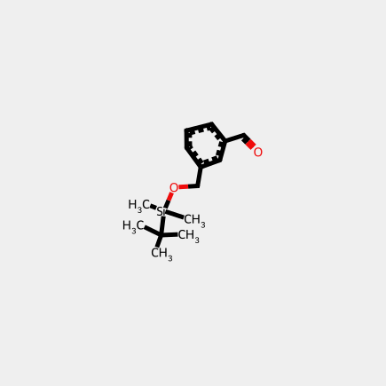 CC(C)(C)[Si](C)(C)OCc1cccc(C=O)c1